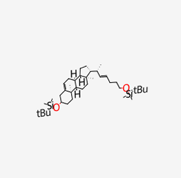 C[C@H](/C=C/CCCO[Si](C)(C)C(C)(C)C)[C@H]1CC[C@H]2[C@@H]3CC=C4CC(O[Si](C)(C)C(C)(C)C)CC[C@]4(C)[C@H]3CC[C@]12C